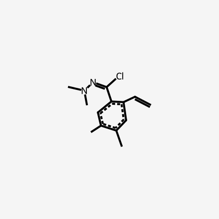 C=Cc1cc(C)c(C)cc1/C(Cl)=N\N(C)C